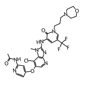 CC(=O)Nc1cc(Oc2cnc3nc(Nc4cc(C(F)(F)F)cn(CCCN5CCOCC5)c4=O)n(C)c3c2Cl)ccn1